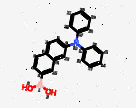 OB(O)c1ccc2ccc(N(c3ccccc3)c3ccccc3)cc2c1